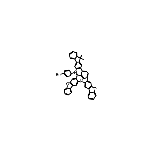 CC(C)(C)c1ccc(N2B3c4cc5oc6ccccc6c5cc4-n4c5cc6c(cc5c5ccc(c3c54)-c3cc4c(cc32)-c2ccccc2C4(C)C)oc2ccccc26)cc1